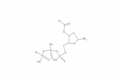 BC1CC(OC(=O)CC)C(COP(O)(=S)OP(=O)(O)OP(=O)(O)CC)O1